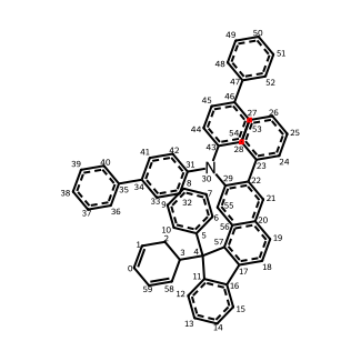 C1=CCC(C2(c3ccccc3)c3ccccc3-c3ccc4cc(-c5ccccc5)c(N(c5ccc(-c6ccccc6)cc5)c5ccc(-c6ccccc6)cc5)cc4c32)C=C1